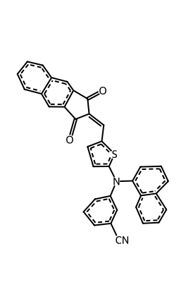 N#Cc1cccc(N(c2ccc(C=C3C(=O)c4cc5ccccc5cc4C3=O)s2)c2cccc3ccccc23)c1